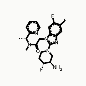 C[C@H](c1ccccn1)N(C)C(=O)Cn1c(N2CC[C@@H](F)[C@H](N)C2)nc2cc(F)c(F)cc21